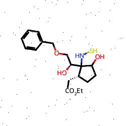 CCOC(=O)C[C@H]1CCC(O)C1(NS)[C@@H](O)COCc1ccccc1